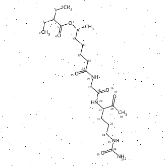 CCC(CC)C(=O)OC(C)CCCCC(=O)NCC(=O)NC(CCCNC(N)=O)C(C)=O